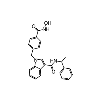 CC(NC(=O)c1cn(Cc2ccc(C(=O)NO)cc2)c2ccccc12)c1ccccc1